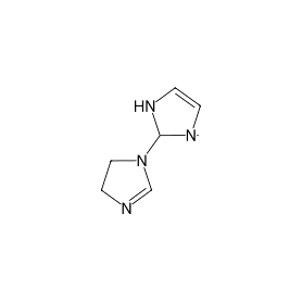 C1=CNC(N2C=NCC2)[N]1